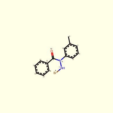 Cc1cccc(N(NBr)C(=O)c2ccccc2)c1